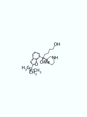 CO[C@](CCCCO)(c1cccc2cc([Si](C)(C)C)oc12)[C@@H]1CCCNC1